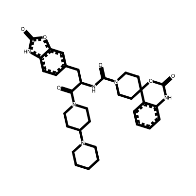 O=C1Nc2ccccc2C2(CCN(C(=O)NC(Cc3ccc4[nH]c(=O)oc4c3)C(=O)N3CCC(N4CCCCC4)CC3)CC2)O1